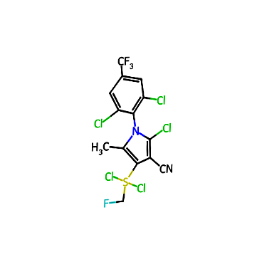 Cc1c(S(Cl)(Cl)CF)c(C#N)c(Cl)n1-c1c(Cl)cc(C(F)(F)F)cc1Cl